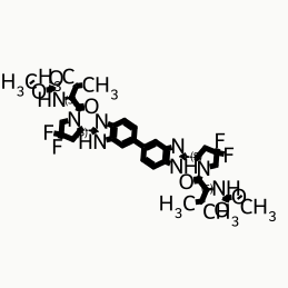 COC(=O)N[C@H](C(=O)N1CC(F)(F)C[C@H]1c1nc2cc(-c3ccc4nc([C@@H]5CC(F)(F)CN5C(=O)[C@@H](NC(=O)OC)C(C)C)[nH]c4c3)ccc2[nH]1)C(C)C